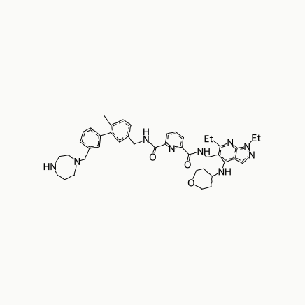 CCc1nc2c(cnn2CC)c(NC2CCOCC2)c1CNC(=O)c1cccc(C(=O)NCc2ccc(C)c(-c3cccc(CN4CCCNCC4)c3)c2)n1